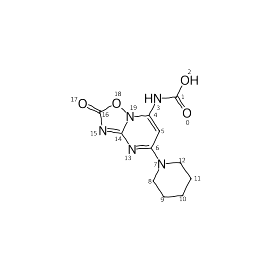 O=C(O)Nc1cc(N2CCCCC2)nc2nc(=O)on12